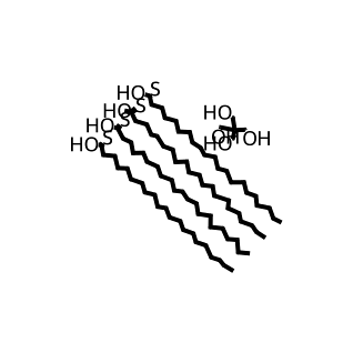 CCCCCCCCCCCCCCCCCCCCC(O)=S.CCCCCCCCCCCCCCCCCCCCC(O)=S.CCCCCCCCCCCCCCCCCCCCC(O)=S.CCCCCCCCCCCCCCCCCCCCC(O)=S.OCC(CO)(CO)CO